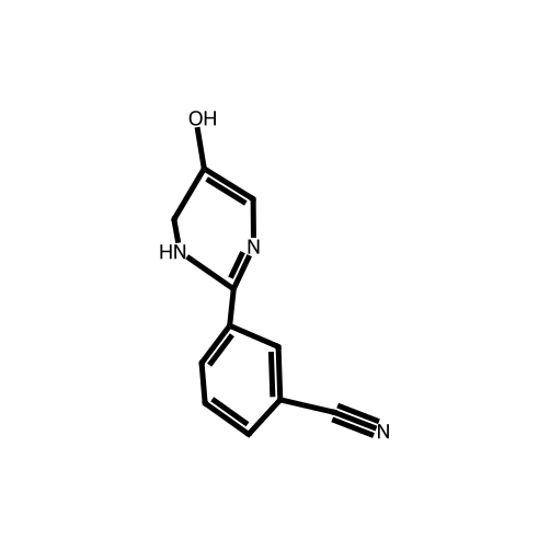 N#Cc1cccc(C2=NC=C(O)CN2)c1